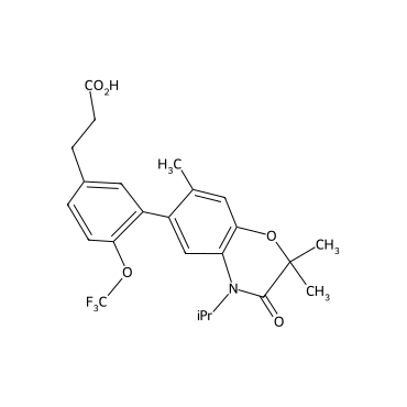 Cc1cc2c(cc1-c1cc(CCC(=O)O)ccc1OC(F)(F)F)N(C(C)C)C(=O)C(C)(C)O2